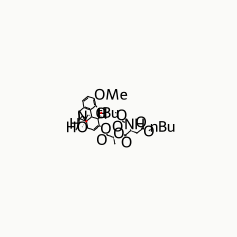 CCCCOC(=O)C[C@H](NC(=O)OC(C)(C)C)C(=O)O[C@@H](C)C(=O)OC1=CC[C@@]2(O)[C@H]3Cc4ccc(OC)c5c4[C@@]2(CCN3C)[C@H]1O5